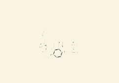 CC(=O)Nc1c(OC(C)=O)ccc(OC(C)CCCCCF)c1OC(C)=O